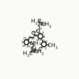 Cc1cc(C)cc(-c2ccc(OCCN(C)C)c(C(=O)C=Cc3ccccc3NCCN(C)C)c2)c1